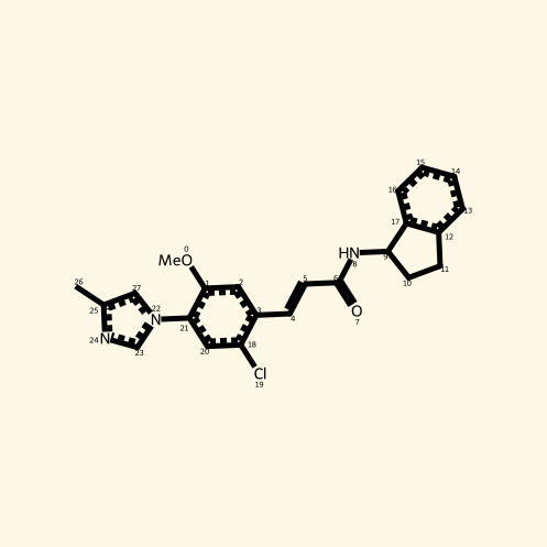 COc1cc(C=CC(=O)NC2CCc3ccccc32)c(Cl)cc1-n1cnc(C)c1